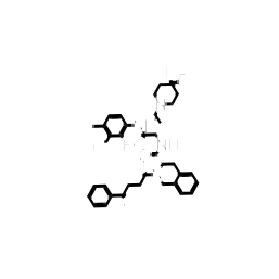 O=C(CCC(=O)N1Cc2ccccc2C[C@H]1C(=O)N[C@@H](CCN1CCC(F)(F)CC1)C(=O)Nc1ccc(Cl)c(Cl)c1F)c1ccccc1